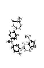 CC(C)N1CCN(c2ccc(Nc3ncc(F)c(N4CCc5ncn(C(C)C)c5C4)n3)nc2)CC1